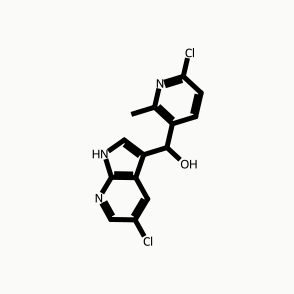 Cc1nc(Cl)ccc1C(O)c1c[nH]c2ncc(Cl)cc12